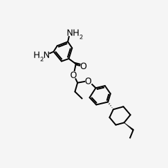 CCC(OC(=O)c1cc(N)cc(N)c1)Oc1ccc([C@H]2CC[C@H](CC)CC2)cc1